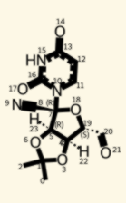 CC1(C)O[C@H]2[C@@H](O1)[C@](C#N)(n1ccc(=O)[nH]c1=O)O[C@@H]2C=O